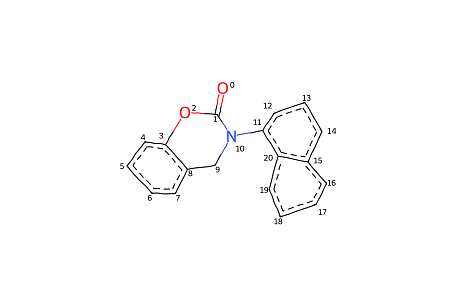 O=C1Oc2ccccc2CN1c1cccc2ccccc12